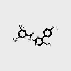 Cc1cnc(NC(=O)c2cc(C(F)(F)F)cc(C(F)(F)F)c2)nc1-c1ccc(N)cc1